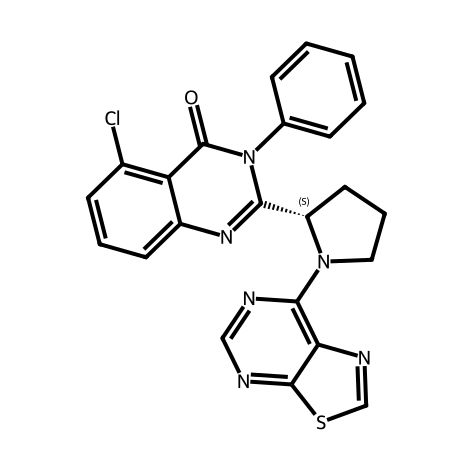 O=c1c2c(Cl)cccc2nc([C@@H]2CCCN2c2ncnc3scnc23)n1-c1ccccc1